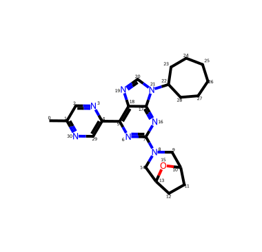 Cc1cnc(-c2nc(N3CC4CCC(C3)O4)nc3c2ncn3C2CCCCCC2)cn1